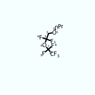 CCCOCC(F)(F)OC(F)(F)C(F)(F)F